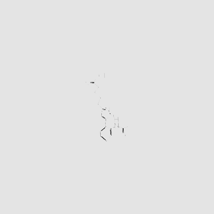 CC(=O)Nc1ccccc1-c1cc(CCCCC(=O)O)no1